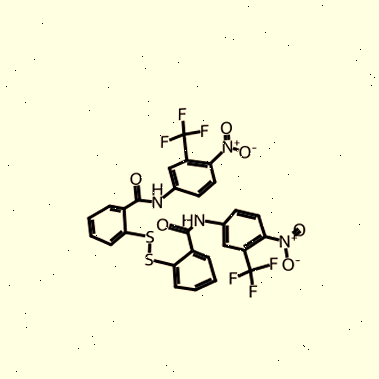 O=C(Nc1ccc([N+](=O)[O-])c(C(F)(F)F)c1)c1ccccc1SSc1ccccc1C(=O)Nc1ccc([N+](=O)[O-])c(C(F)(F)F)c1